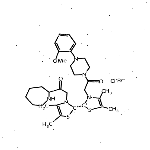 COc1ccccc1N1CCN(C(=O)Cn2c(C)c(C)s[c+]2-[c+]2sc(C)c(C)n2CC(=O)C2CCCCCN2)CC1.[Br-].[Cl-]